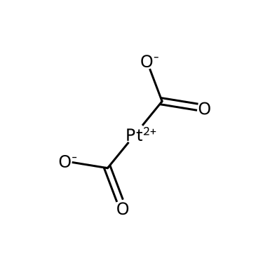 O=[C]([O-])[Pt+2][C](=O)[O-]